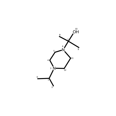 CC(C)N1CCN(C(C)(C)O)CC1